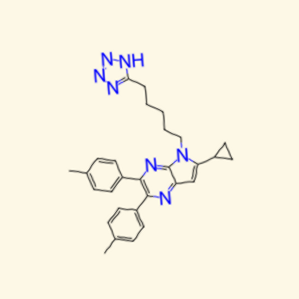 Cc1ccc(-c2nc3cc(C4CC4)n(CCCCCc4nnn[nH]4)c3nc2-c2ccc(C)cc2)cc1